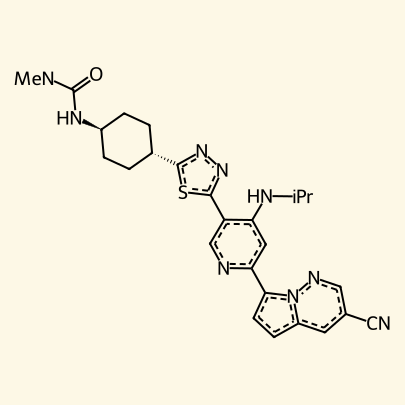 CNC(=O)N[C@H]1CC[C@H](c2nnc(-c3cnc(-c4ccc5cc(C#N)cnn45)cc3NC(C)C)s2)CC1